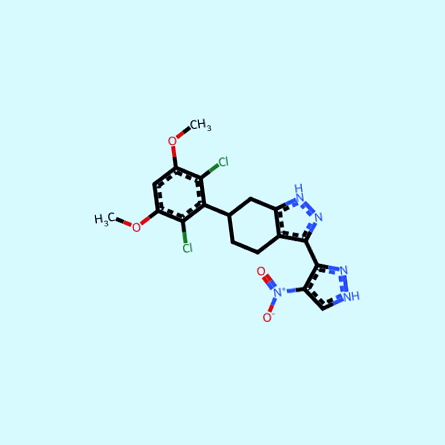 COc1cc(OC)c(Cl)c(C2CCc3c(-c4n[nH]cc4[N+](=O)[O-])n[nH]c3C2)c1Cl